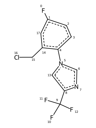 Fc1ccc(-n2cnc(C(F)(F)F)c2)c(CCl)c1